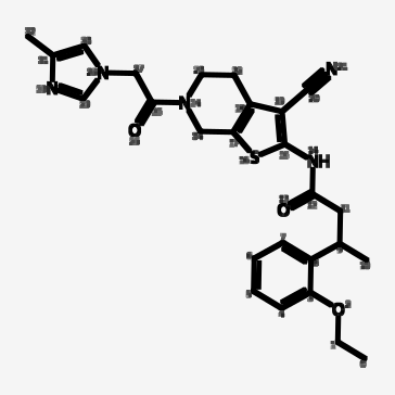 CCOc1ccccc1C(C)CC(=O)Nc1sc2c(c1C#N)CCN(C(=O)Cn1cnc(C)c1)C2